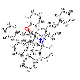 C1=CC2=C(C(N(c3ccc(-c4ccccc4)cc3)c3ccc(-c4ccccc4)cc3)C1)C1(c3ccccc32)c2ccccc2-c2c1ccc1c2oc2ccccc21